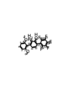 COc1cccc(OC)c1-c1ccc(-c2c(F)c(F)c(F)c(F)c2F)c(O)c1P